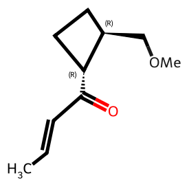 CC=CC(=O)[C@@H]1CC[C@H]1COC